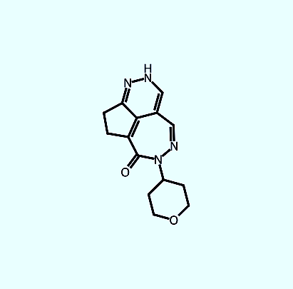 O=C1C2=C3C(=CNN=C3CC2)C=NN1C1CCOCC1